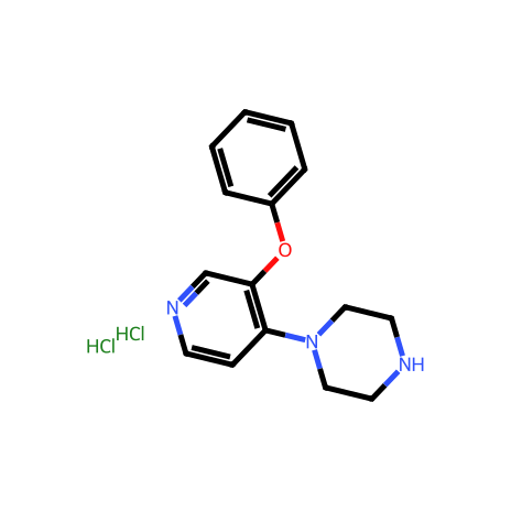 Cl.Cl.c1ccc(Oc2cnccc2N2CCNCC2)cc1